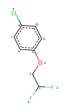 FC(F)COc1ccc(Cl)cc1